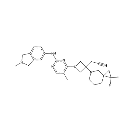 Cc1cnc(Nc2ccc3c(c2)CN(C)C3)nc1N1CC(CC#N)(N2CCCC3(C2)CC3(F)F)C1